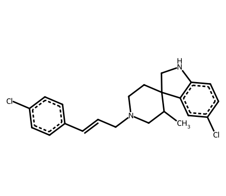 CC1CN(CC=Cc2ccc(Cl)cc2)CCC12CNc1ccc(Cl)cc12